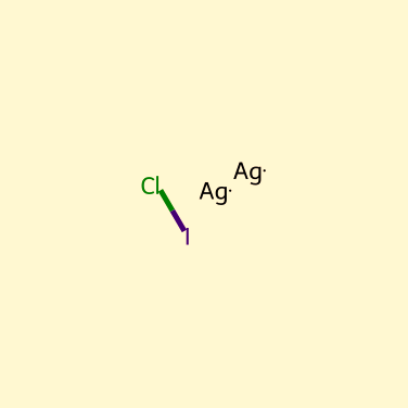 ClI.[Ag].[Ag]